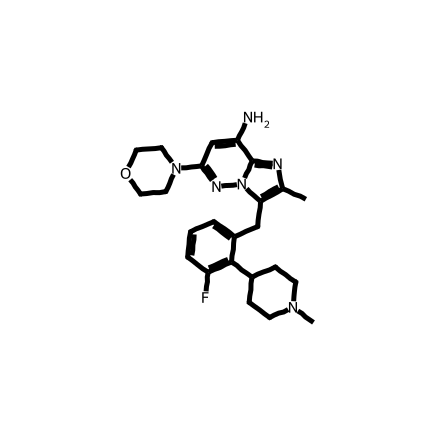 Cc1nc2c(N)cc(N3CCOCC3)nn2c1Cc1cccc(F)c1C1CCN(C)CC1